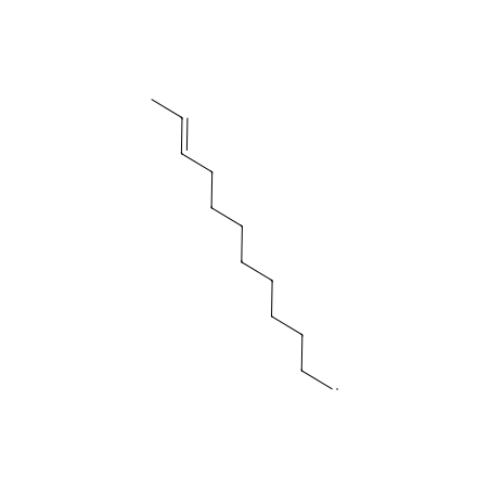 [CH2]CCCCCCCCC=CC